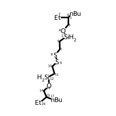 CCCCC(CC)CO[SiH2]CCSSCC[SiH2]OCC(CC)CCCC